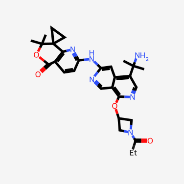 CCC(=O)N1CC(Oc2ncc(C(C)(C)N)c3cc(Nc4ccc5c(n4)C4(CC4)C(C)(C)OC5=O)ncc23)C1